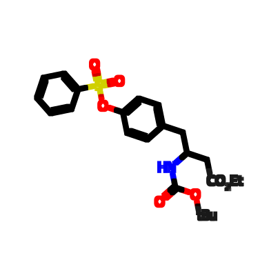 CCOC(=O)CC(Cc1ccc(OS(=O)(=O)c2ccccc2)cc1)NC(=O)OC(C)(C)C